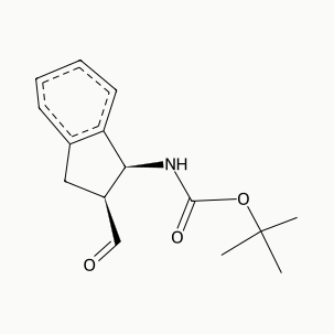 CC(C)(C)OC(=O)N[C@@H]1c2ccccc2C[C@@H]1C=O